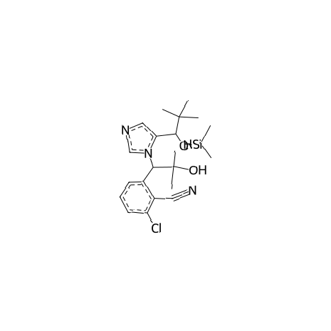 C[SiH](C)OC(c1cncn1C(c1cccc(Cl)c1C#N)C(C)(C)O)C(C)(C)C